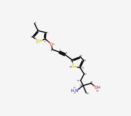 Cc1csc(OCC#Cc2ccc(CCC(C)(N)CO)s2)c1